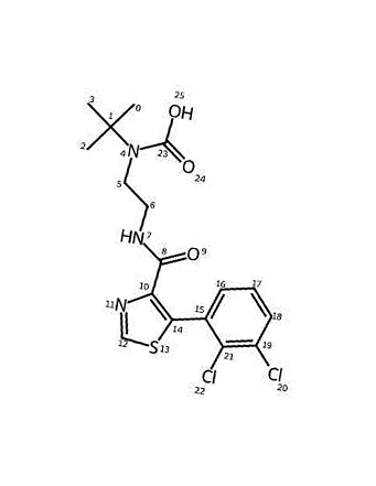 CC(C)(C)N(CCNC(=O)c1ncsc1-c1cccc(Cl)c1Cl)C(=O)O